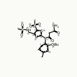 Cc1ccc(N(C(=O)CC(N)=O)c2nc(CNS(C)(=O)=O)c(S(C)(=O)=O)s2)c(OCC(C)C)c1